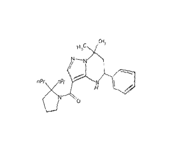 CCCC1(CCC)CCCN1C(=O)c1cnn2c1NC(c1ccccc1)CC2(C)C